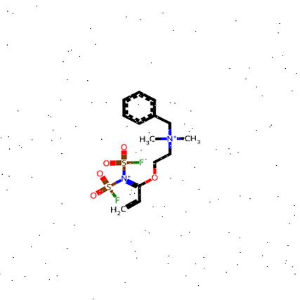 C=CC(OCC[N+](C)(C)Cc1ccccc1)=[N+](S(=O)(=O)F)S(=O)(=O)F